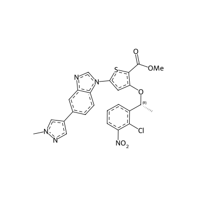 COC(=O)c1sc(-n2cnc3cc(-c4cnn(C)c4)ccc32)cc1O[C@H](C)c1cccc([N+](=O)[O-])c1Cl